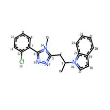 CC(Cc1nnc(-c2ccccc2Cl)n1C)n1ccc2ccccc21